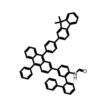 CC1(C)c2ccccc2-c2ccc(-c3ccc(-c4c5ccccc5c(-c5ccccc5)c5ccc(-c6ccc(NC=O)c(-c7ccccc7-c7ccccc7)c6)cc45)cc3)cc21